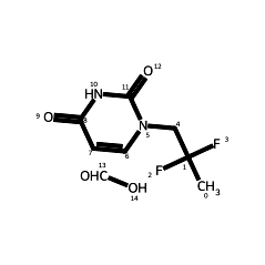 CC(F)(F)Cn1ccc(=O)[nH]c1=O.O=CO